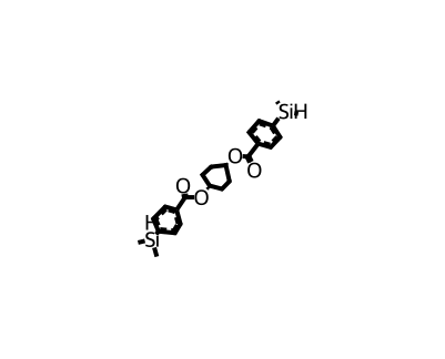 C[SiH](C)c1ccc(C(=O)O[C@H]2CC[C@H](OC(=O)c3ccc([SiH](C)C)cc3)CC2)cc1